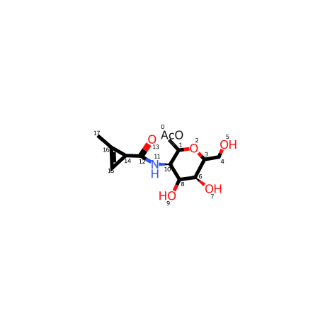 CC(=O)OC1OC(CO)[C@@H](O)C(O)[C@H]1NC(=O)C1C=C1C